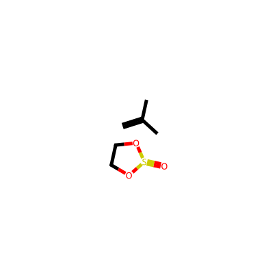 C=C(C)C.O=S1OCCO1